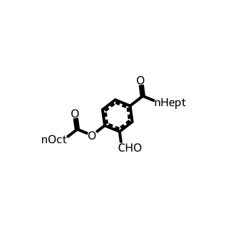 CCCCCCCCC(=O)Oc1ccc(C(=O)CCCCCCC)cc1C=O